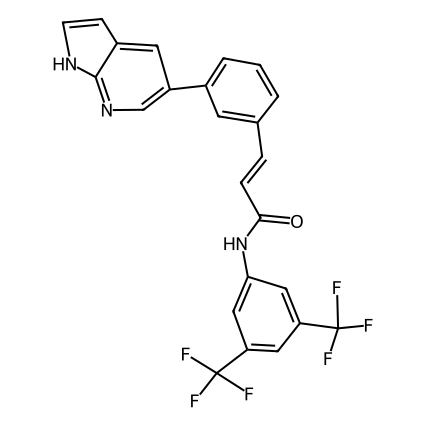 O=C(C=Cc1cccc(-c2cnc3[nH]ccc3c2)c1)Nc1cc(C(F)(F)F)cc(C(F)(F)F)c1